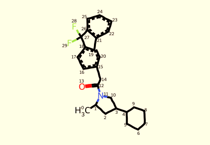 CC1CC(C2CCCCC2)CN1C(=O)Cc1ccc2c(c1)-c1ccccc1C2(F)F